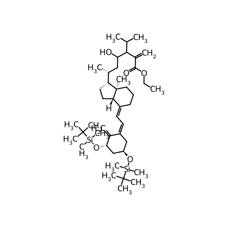 C=C(C(=O)OCC)C(C(C)C)C(O)C[C@@H](C)[C@H]1CC[C@H]2/C(=C/C=C3/C[C@@H](O[Si](C)(C)C(C)(C)C)C[C@H](O[Si](C)(C)C(C)(C)C)C3=C)CCC[C@]12C